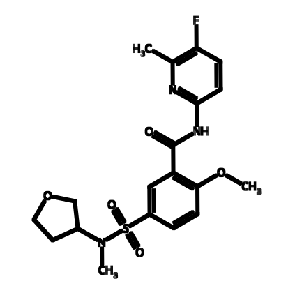 COc1ccc(S(=O)(=O)N(C)C2CCOC2)cc1C(=O)Nc1ccc(F)c(C)n1